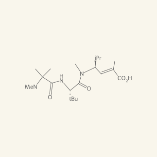 CNC(C)(C)C(=O)N[C@H](C(=O)N(C)[C@H](/C=C(\C)C(=O)O)C(C)C)C(C)(C)C